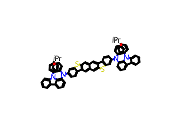 CC(C)c1ccc(-n2c3ccccc3c3cccc(N(c4ccccc4)c4ccc5c(c4)sc4cc6cc7c(cc6cc45)sc4cc(N(c5ccccc5)c5cccc6c8ccccc8n(-c8ccc(C(C)C)cc8)c56)ccc47)c32)cc1